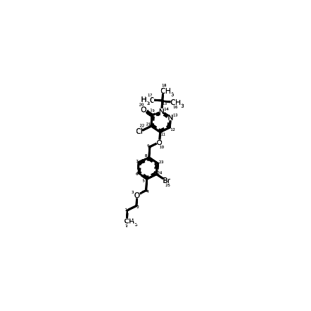 CCCOCc1ccc(COc2cnn(C(C)(C)C)c(=O)c2Cl)cc1Br